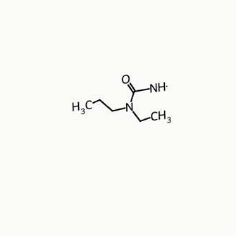 CCCN(CC)C([NH])=O